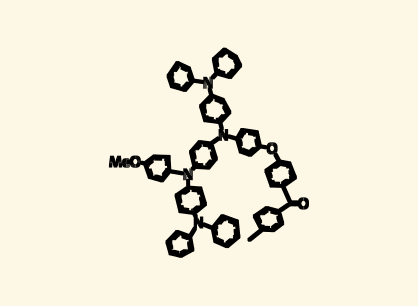 COc1ccc(N(c2ccc(N(c3ccccc3)c3ccccc3)cc2)c2ccc(N(c3ccc(Oc4ccc(C(=O)c5ccc(C)cc5)cc4)cc3)c3ccc(N(c4ccccc4)c4ccccc4)cc3)cc2)cc1